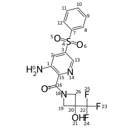 Nc1cc(S(=O)(=O)c2ccccc2)cnc1C(=O)N1CC(O)(C(F)(F)F)C1